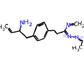 C=CC(N)Cc1ccc(CC/C(N=C)=N/N=C\C)cc1